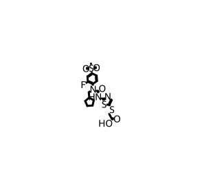 CS(=O)(=O)c1ccc(N(CC2CCCC2)C(=O)Nc2ncc(SCC(=O)O)s2)c(F)c1